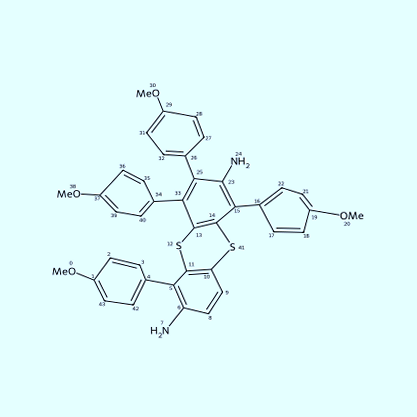 COc1ccc(-c2c(N)ccc3c2Sc2c(c(-c4ccc(OC)cc4)c(N)c(-c4ccc(OC)cc4)c2-c2ccc(OC)cc2)S3)cc1